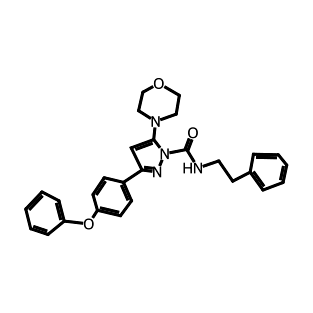 O=C(NCCc1ccccc1)n1nc(-c2ccc(Oc3ccccc3)cc2)cc1N1CCOCC1